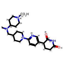 CN(CC1CCN(c2ccc(C3CCC(=O)NC3=O)cn2)CC1)C1CCN(C(=O)O)CC1